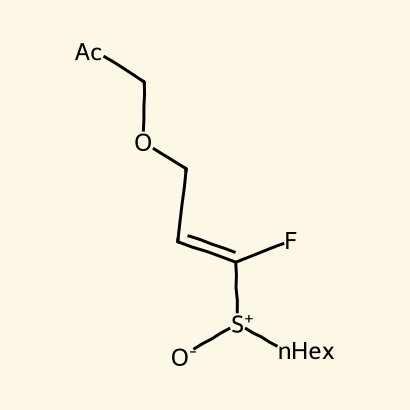 CCCCCC[S+]([O-])C(F)=CCOCC(C)=O